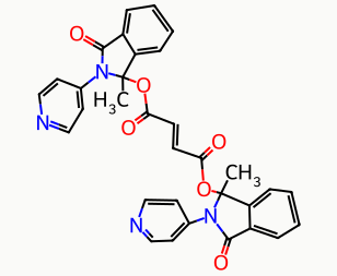 CC1(OC(=O)/C=C/C(=O)OC2(C)c3ccccc3C(=O)N2c2ccncc2)c2ccccc2C(=O)N1c1ccncc1